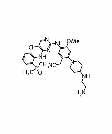 COc1cc(N2CCC(NCCN)CC2)c(CC#N)cc1Nc1ncc(Cl)c(Nc2ccccc2P(C)(C)=O)n1